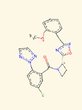 O=C(c1cc(Cl)ccc1-n1nccn1)N1CC[C@H]1c1nc(-c2ccccc2OC(F)(F)F)no1